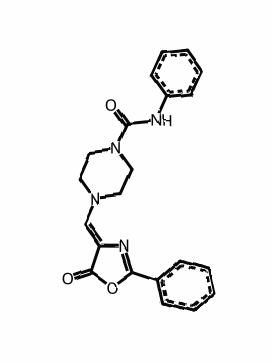 O=C1OC(c2ccccc2)=NC1=CN1CCN(C(=O)Nc2ccccc2)CC1